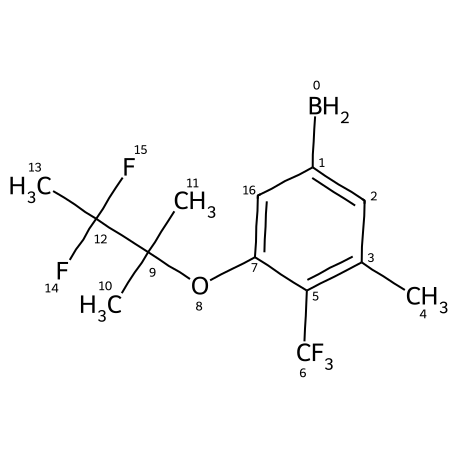 Bc1cc(C)c(C(F)(F)F)c(OC(C)(C)C(C)(F)F)c1